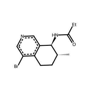 CCC(=O)N[C@@H]1c2cncc(Br)c2CC[C@H]1C